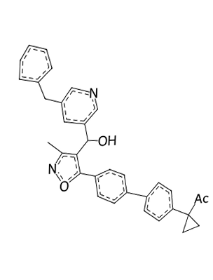 CC(=O)C1(c2ccc(-c3ccc(-c4onc(C)c4C(O)c4cncc(Cc5ccccc5)c4)cc3)cc2)CC1